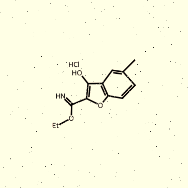 CCOC(=N)c1oc2ccc(C)cc2c1O.Cl